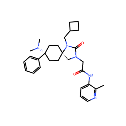 Cc1ncccc1NC(=O)CN1C[C@]2(CC[C@@](c3ccccc3)(N(C)C)CC2)N(CC2CCC2)C1=O